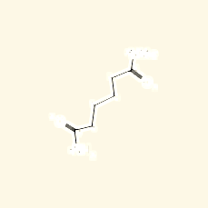 CNC(=O)[CH]CCCC(N)=O